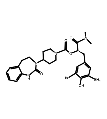 Bc1cc(C[C@@H](OC(=O)N2CCC(N3CCc4ccccc4NC3=O)CC2)C(=O)N(C)C)cc(Br)c1O